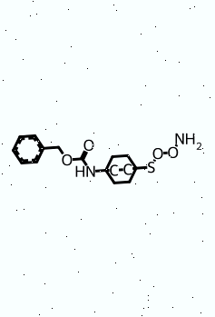 NOOSC12CCC(NC(=O)OCc3ccccc3)(CC1)CC2